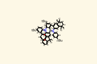 CC(C)(C)c1ccc(N2B3c4cc5c(cc4N(c4ccc(C(C)(C)C)cc4-c4ccccc4)c4cc(C(C)(C)C)cc(c43)-c3cc4c(cc32)C(C)(C)CCC4(C)C)-c2ccccc2C5(C)C)cc1